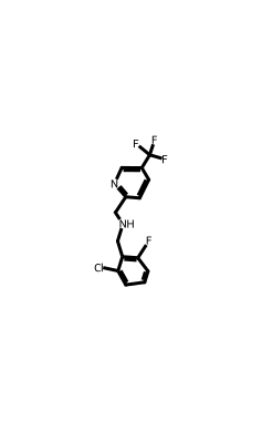 Fc1cccc(Cl)c1CNCc1ccc(C(F)(F)F)cn1